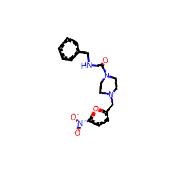 O=C(NCc1ccccc1)N1CCN(Cc2ccc([N+](=O)[O-])o2)CC1